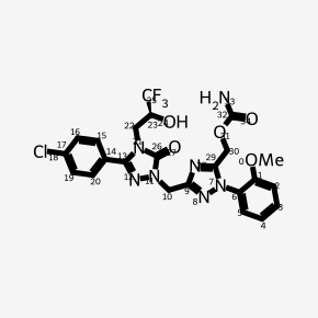 COc1ccccc1-n1nc(Cn2nc(-c3ccc(Cl)cc3)n(C[C@H](O)C(F)(F)F)c2=O)nc1COC(N)=O